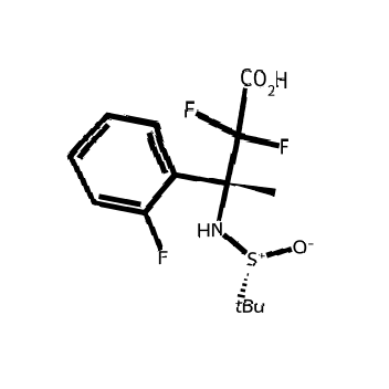 CC(C)(C)[S@@+]([O-])N[C@](C)(c1ccccc1F)C(F)(F)C(=O)O